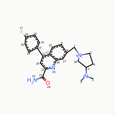 CN(C)C1CCN(Cc2ccc3c(-c4ccc(F)cc4)cc(C(N)=O)nc3c2)C1